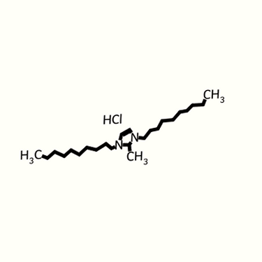 CCCCCCCCCCN1C=CN(CCCCCCCCCC)C1C.Cl